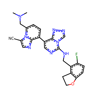 CN(C)Cc1ccc(-c2cnc(NCc3c(F)ccc4c3CCO4)n3cnnc23)c2ncc(C#N)n12